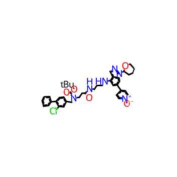 CC(C)(C)OC(=O)N(CCC(=O)NCCCNc1cc(-c2cc[n+]([O-])cc2)cc2c1cnn2C1CCCCO1)Cc1ccc(-c2ccccc2)c(Cl)c1